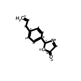 C=CCc1ccc(C2N=CC(=O)O2)cc1